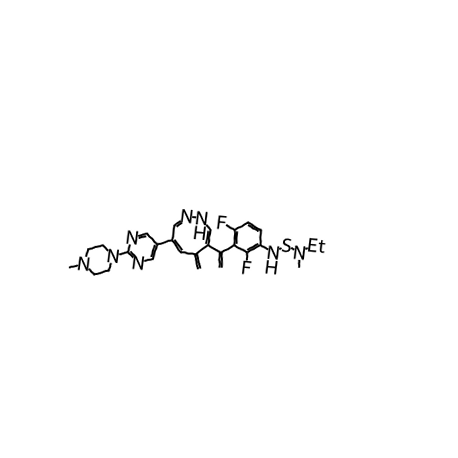 C=C1/C=C(c2cnc(N3CCN(C)CC3)nc2)\C=N/N/C=C\1C(=C)c1c(F)ccc(NSN(C)CC)c1F